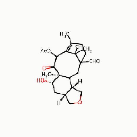 CC(=O)OC1C(=O)[C@@]2(C)C(CC3(C=O)CCC(C)=C1C3(C)C)[C@@H]1COC[C@@H]1C[C@@H]2O